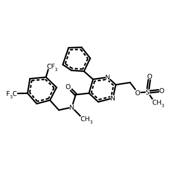 CN(Cc1cc(C(F)(F)F)cc(C(F)(F)F)c1)C(=O)c1cnc(COS(C)(=O)=O)nc1-c1ccccc1